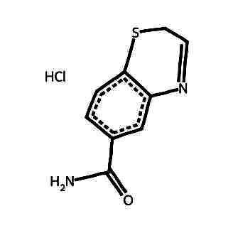 Cl.NC(=O)c1ccc2c(c1)N=CCS2